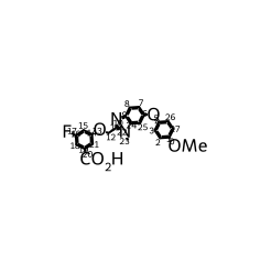 COc1ccc(Oc2ccc3nc(COc4cc(F)cc(C(=O)O)c4)n(C)c3c2)cc1